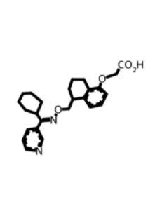 O=C(O)COc1cccc2c1CCCC2CON=C(c1cccnc1)C1CCCCC1